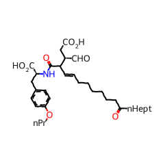 CCCCCCCC(=O)CCCCCC/C=C/C(C(=O)N[C@@H](Cc1ccc(OCCC)cc1)C(=O)O)[C@H](C=O)CC(=O)O